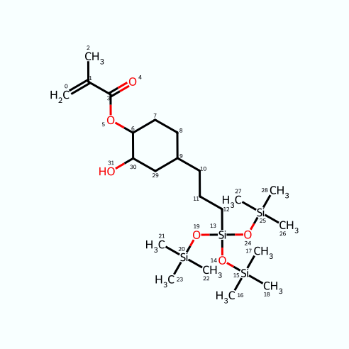 C=C(C)C(=O)OC1CCC(CCC[Si](O[Si](C)(C)C)(O[Si](C)(C)C)O[Si](C)(C)C)CC1O